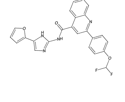 O=C(Nc1ncc(-c2ccco2)[nH]1)c1cc(-c2ccc(OC(F)F)cc2)nc2ccccc12